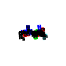 CCOC(=O)NC(=O)/C(C#N)=N\Nc1cc(Cl)c(Oc2n[nH]c(=O)c3c2CC2C(C3)C2(F)F)c(Cl)c1